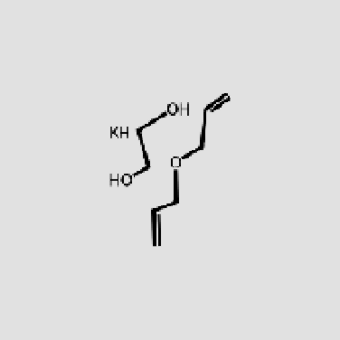 C=CCOCC=C.OCCO.[KH]